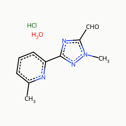 Cc1cccc(-c2nc(C=O)n(C)n2)n1.Cl.O